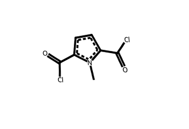 Cn1c(C(=O)Cl)ccc1C(=O)Cl